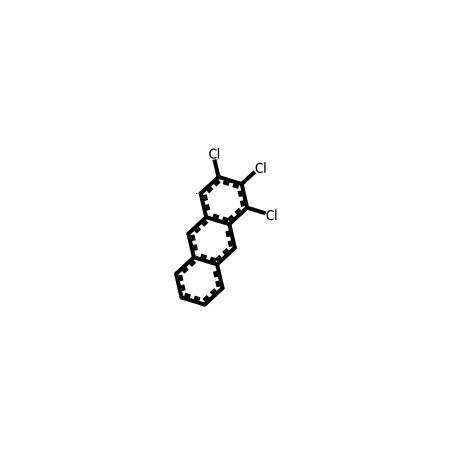 Clc1[c]c2cc3ccccc3cc2c(Cl)c1Cl